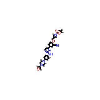 CC(C)(C)OC(=O)N1CC(COc2ccc(-c3ccnc(Nc4ccc(N5CCN(C6COC6)CC5)cc4)n3)cc2C#N)C1